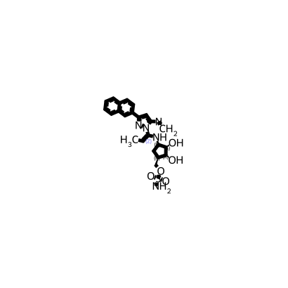 C=Nc1cc(-c2ccc3ccccc3c2)nn1/C(=C\C)N[C@@H]1C[C@H](COS(N)(=O)=O)[C@@H](O)[C@H]1O